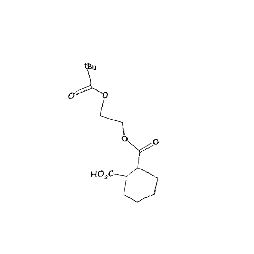 CC(C)(C)C(=O)OCCOC(=O)C1CCCCC1C(=O)O